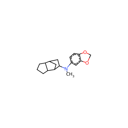 CN(c1ccc2c(c1)OCO2)C1CC2CC1C1CCCC21